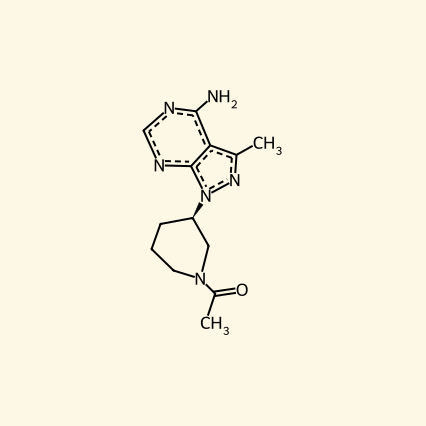 CC(=O)N1CCC[C@@H](n2nc(C)c3c(N)ncnc32)C1